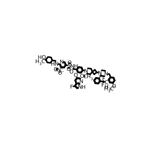 COc1ccc(CN2CCN(C3CC4(CCN(c5ccc(C(=O)NS(=O)(=O)c6cnc(NCC7CCC(C)(O)CC7)c([N+](=O)[O-])c6)c(Oc6cc7c(F)c[nH]c7nc6OC)c5)CC4)C3)[C@H](c3ccccc3C(C)(F)F)C2)cc1